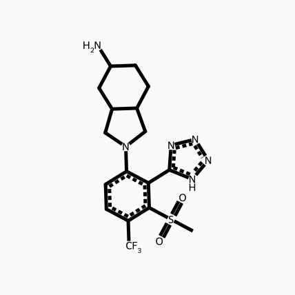 CS(=O)(=O)c1c(C(F)(F)F)ccc(N2CC3CCC(N)CC3C2)c1-c1nnn[nH]1